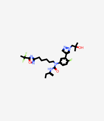 C=C(CC)NC(=O)N(CCCCCc1noc(C(C)(F)F)n1)c1ccc(F)c(-c2cnn(CC(C)(C)O)c2)c1